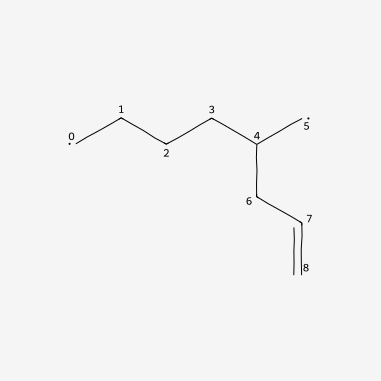 [CH2]CCCC([CH2])CC=C